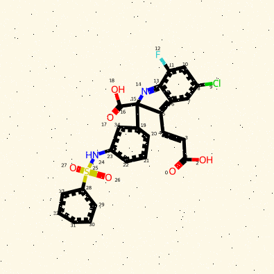 O=C(O)C=CC1=c2cc(Cl)cc(F)c2=NC1(C(=O)O)c1cccc(NS(=O)(=O)c2ccccc2)c1